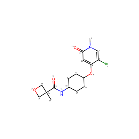 Cn1cc(Br)c(OC2CCC(NC(=O)C3(C)COC3)CC2)cc1=O